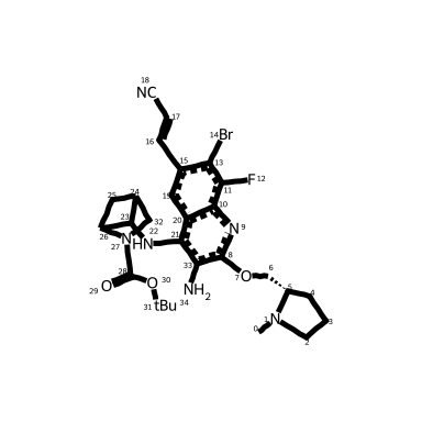 CN1CCC[C@H]1COc1nc2c(F)c(Br)c(/C=C/C#N)cc2c(NC2C3CC2N(C(=O)OC(C)(C)C)C3)c1N